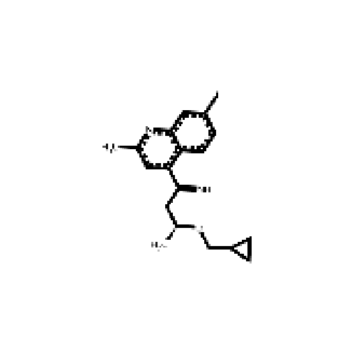 Cc1cc(C(=N)C[C@H](C)OCC2CC2)c2ccc(I)cc2n1